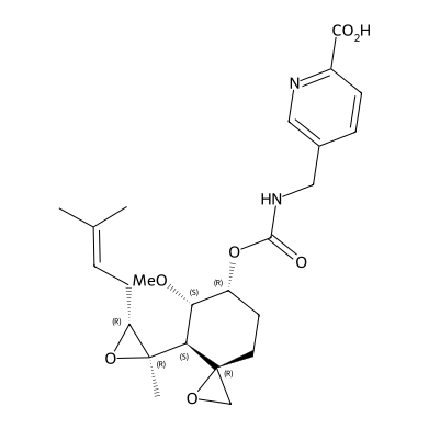 CO[C@@H]1[C@H](OC(=O)NCc2ccc(C(=O)O)nc2)CC[C@]2(CO2)[C@H]1[C@@]1(C)O[C@@H]1CC=C(C)C